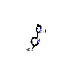 CC(C)(C)c1ccc(-c2ccc[nH]2)nc1